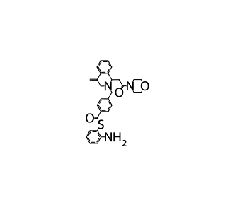 C=C1CN(Cc2ccc(C(=O)Sc3ccccc3N)cc2)C(CC(=O)N2CCOCC2)c2ccccc21